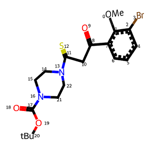 COc1c(Br)cccc1C(=O)CC(=S)N1CCN(C(=O)OC(C)(C)C)CC1